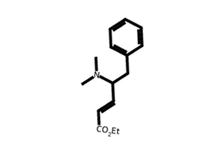 CCOC(=O)/C=C/C(Cc1ccccc1)N(C)C